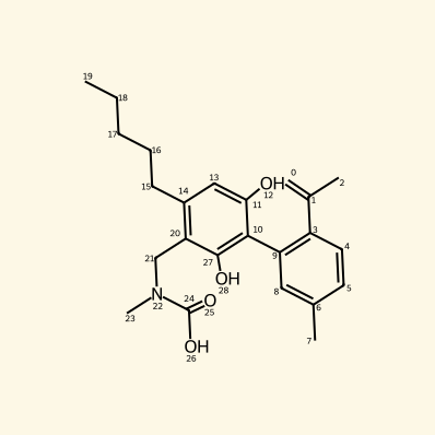 C=C(C)c1ccc(C)cc1-c1c(O)cc(CCCCC)c(CN(C)C(=O)O)c1O